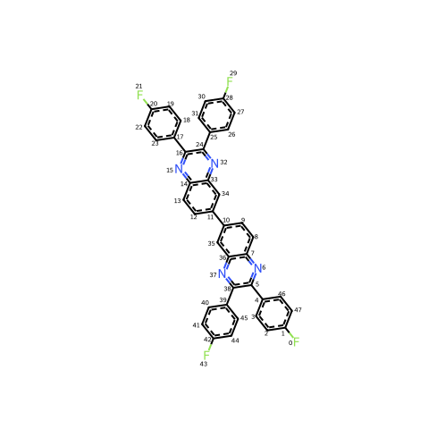 Fc1ccc(-c2nc3ccc(-c4ccc5nc(-c6ccc(F)cc6)c(-c6ccc(F)cc6)nc5c4)cc3nc2-c2ccc(F)cc2)cc1